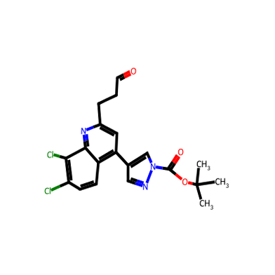 CC(C)(C)OC(=O)n1cc(-c2cc(CCC=O)nc3c(Cl)c(Cl)ccc23)cn1